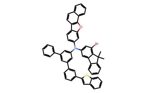 CC1(C)c2ccccc2-c2cc(N(c3cc(-c4ccccc4)cc(-c4cccc(-c5cc6ccccc6s5)c4)c3)c3ccc4c(c3)oc3c5ccccc5ccc43)cc(Br)c21